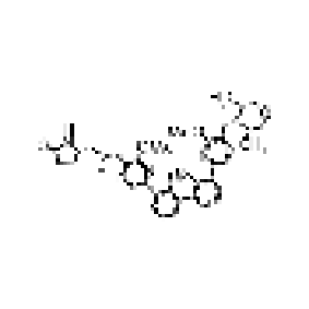 COc1nc(-c2cccc(-c3cccc(-c4cnc(CN5[C@@H](C)COC[C@@H]5C)c(OC)n4)c3Cl)c2Cl)cnc1CNC[C@@H]1CCC(=O)N1